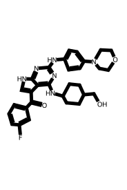 O=C(c1cccc(F)c1)c1c[nH]c2nc(Nc3ccc(N4CCOCC4)cc3)nc(NC3CCC(CO)CC3)c12